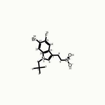 CC(C)(C)Cn1cc(CC[N+](=O)[O-])c2cc(F)c(Br)cc21